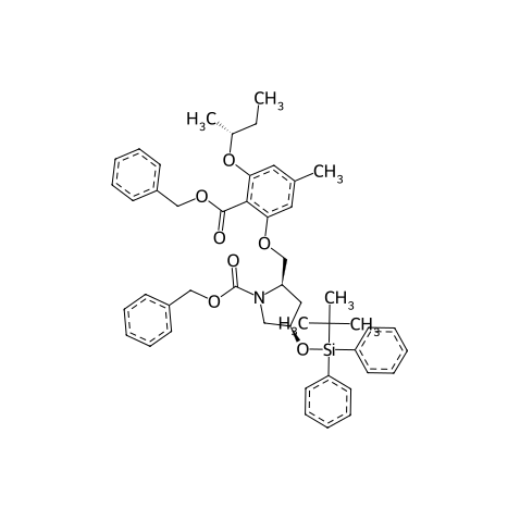 CC[C@@H](C)Oc1cc(C)cc(OC[C@H]2C[C@@H](O[Si](c3ccccc3)(c3ccccc3)C(C)(C)C)CN2C(=O)OCc2ccccc2)c1C(=O)OCc1ccccc1